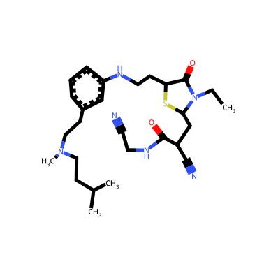 CCN1C(=O)C(CCNc2cccc(CCN(C)CCC(C)C)c2)SC1CC(C#N)C(=O)NCC#N